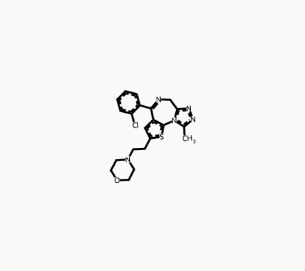 Cc1nnc2n1-c1sc(CCN3CCOCC3)cc1C(c1ccccc1Cl)=NC2